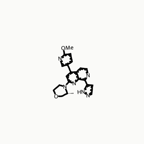 COc1ccc(-c2cc(N3CCOC[C@H]3C)nc3c(-c4ccn[nH]4)nccc23)cn1